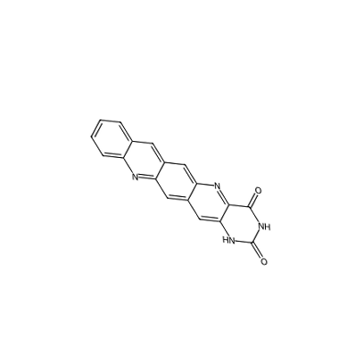 O=c1[nH]c(=O)c2nc3cc4cc5ccccc5nc4cc3cc2[nH]1